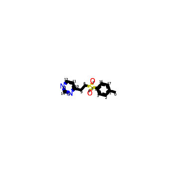 Cc1ccc(S(=O)(=O)CCc2ccncn2)cc1